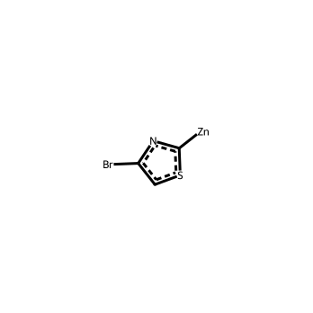 [Zn][c]1nc(Br)cs1